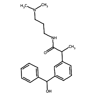 CC(C(=O)NCCCN(C)C)c1cccc(C(O)c2ccccc2)c1